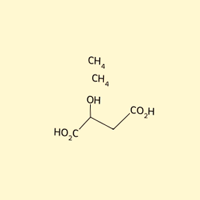 C.C.O=C(O)CC(O)C(=O)O